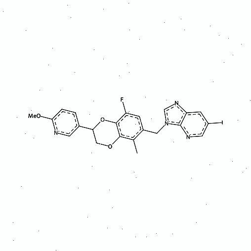 COc1ccc(C2COc3c(C)c(Cn4cnc5cc(I)cnc54)cc(F)c3O2)cn1